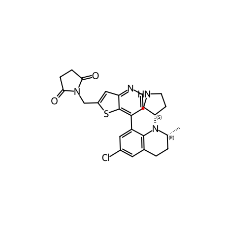 C[C@@H]1CCc2cc(Cl)cc(-c3ccnc4cc(CN5C(=O)CCC5=O)sc34)c2N1[C@H]1CCNC1